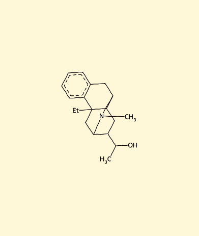 CCC12CC3C(C(C)O)CC1C(Cc1ccccc12)N3C